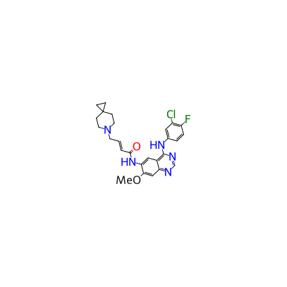 COc1cc2ncnc(Nc3ccc(F)c(Cl)c3)c2cc1NC(=O)C=CCN1CCC2(CC1)CC2